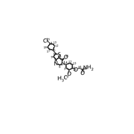 COc1cc(-n2cnc3cc(-c4ccc(Cl)cc4)sc3c2=O)ccc1OCC(N)=O